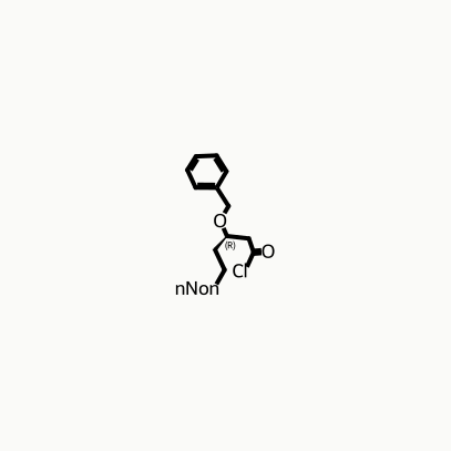 CCCCCCCCCCC[C@H](CC(=O)Cl)OCc1ccccc1